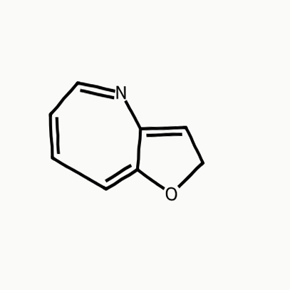 C1=CC=C2OCC=C2N=C1